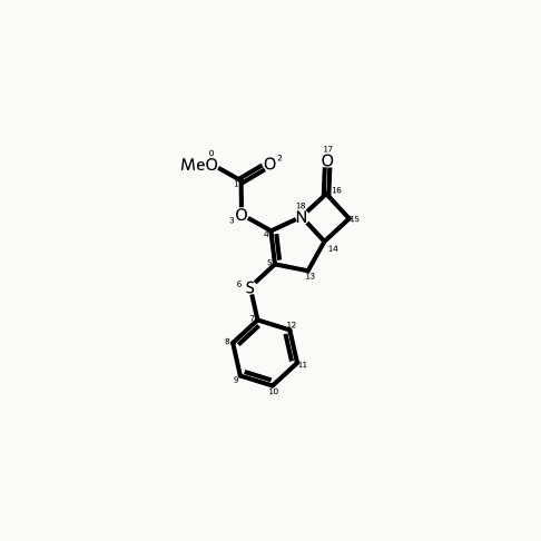 COC(=O)OC1=C(Sc2ccccc2)CC2CC(=O)N12